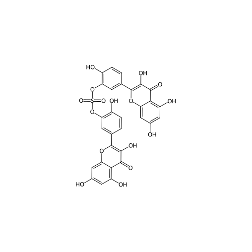 O=c1c(O)c(-c2ccc(O)c(OS(=O)(=O)Oc3cc(-c4oc5cc(O)cc(O)c5c(=O)c4O)ccc3O)c2)oc2cc(O)cc(O)c12